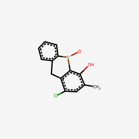 Cc1cc(Cl)c2c(c1O)[S+]([O-])c1ccccc1C2